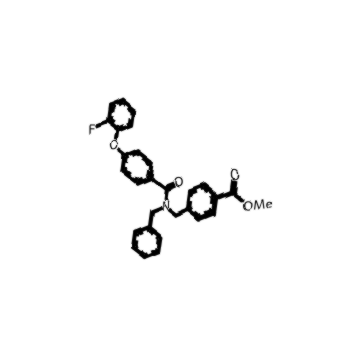 COC(=O)c1ccc(CN(Cc2ccccc2)C(=O)c2ccc(Oc3ccccc3F)cc2)cc1